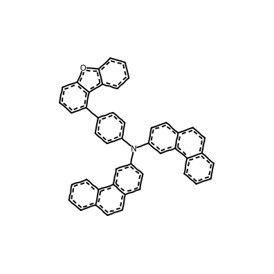 c1ccc2c(c1)ccc1ccc(N(c3ccc(-c4cccc5oc6ccccc6c45)cc3)c3ccc4ccc5ccccc5c4c3)cc12